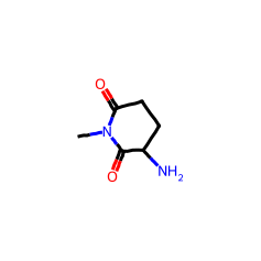 CN1C(=O)CCC(N)C1=O